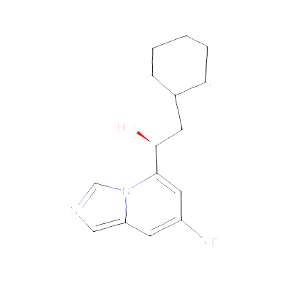 O[C@@H](CC1CCCCC1)c1cc(C(F)(F)F)cc2cncn12